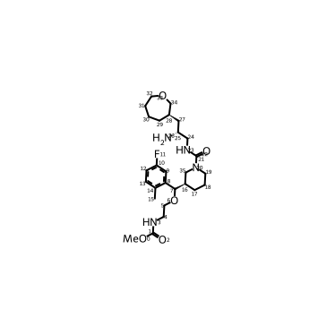 COC(=O)NCCOC(c1cc(F)ccc1C)[C@@H]1CCCN(C(=O)NC[C@H](N)C[C@H]2CCCCOC2)C1